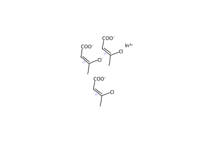 C/C(Cl)=C/C(=O)[O-].C/C(Cl)=C/C(=O)[O-].C/C(Cl)=C/C(=O)[O-].[In+3]